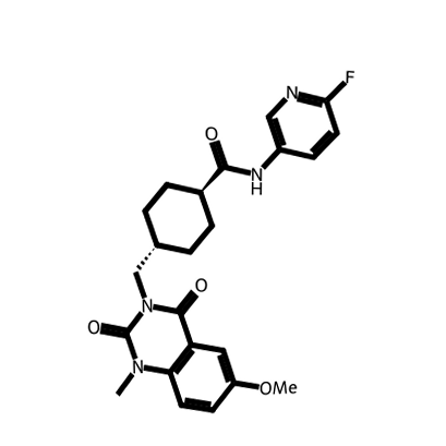 COc1ccc2c(c1)c(=O)n(C[C@H]1CC[C@H](C(=O)Nc3ccc(F)nc3)CC1)c(=O)n2C